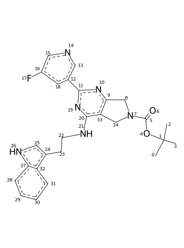 CC(C)(C)OC(=O)N1Cc2nc(-c3cncc(F)c3)nc(NCCc3c[nH]c4ccccc34)c2C1